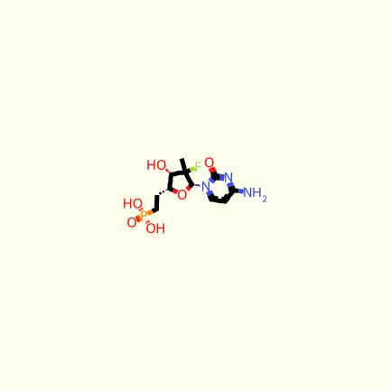 CC1(F)[C@@H](O)[C@@H](CCP(=O)(O)O)O[C@H]1n1ccc(N)nc1=O